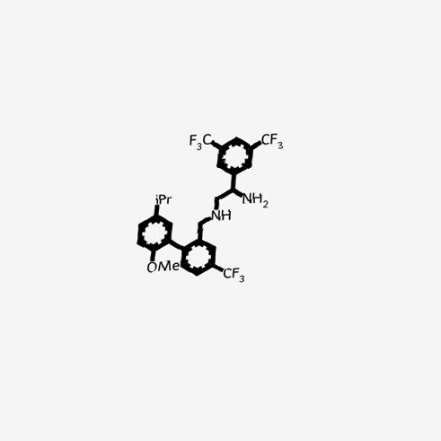 COc1ccc(C(C)C)cc1-c1ccc(C(F)(F)F)cc1CNCC(N)c1cc(C(F)(F)F)cc(C(F)(F)F)c1